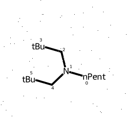 CCCCCN(CC(C)(C)C)CC(C)(C)C